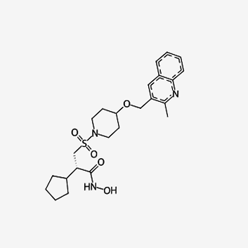 Cc1nc2ccccc2cc1COC1CCN(S(=O)(=O)C[C@H](C(=O)NO)C2CCCC2)CC1